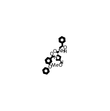 CON=C1C[C@@H](C(=O)NC[C@@H](O)c2ccccc2)N(C(=O)c2cccc(Oc3ccccc3)c2)C1